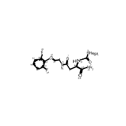 CCCCCCCC(=O)NC(CC(=O)NCCOc1c(F)cccc1F)C(N)=O